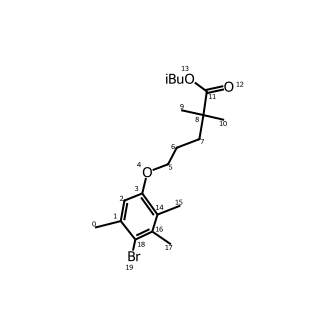 Cc1cc(OCCCC(C)(C)C(=O)OCC(C)C)c(C)c(C)c1Br